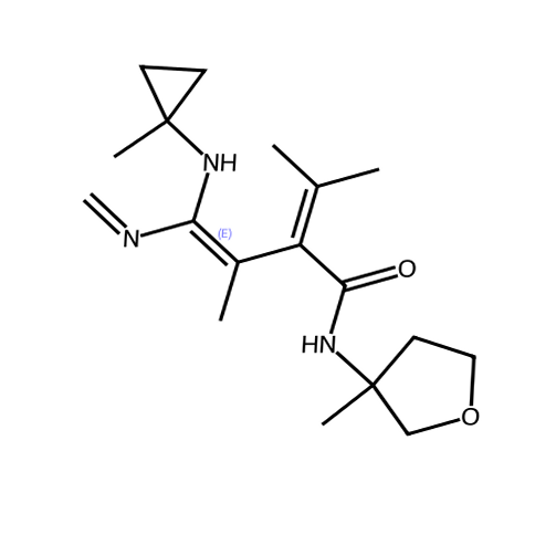 C=N/C(NC1(C)CC1)=C(\C)C(C(=O)NC1(C)CCOC1)=C(C)C